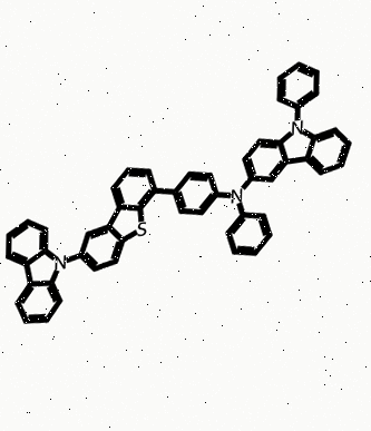 c1ccc(N(c2ccc(-c3cccc4c3sc3ccc(-n5c6ccccc6c6ccccc65)cc34)cc2)c2ccc3c(c2)c2ccccc2n3-c2ccccc2)cc1